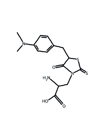 CN(C)c1ccc(CC2SC(=S)N(CC(N)C(=O)O)C2=O)cc1